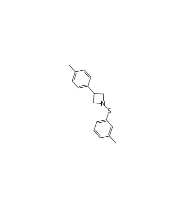 Cc1ccc(C2CN(Sc3cccc(C)c3)C2)cc1